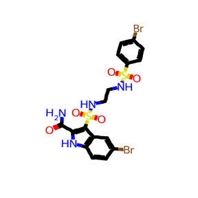 NC(=O)c1[nH]c2ccc(Br)cc2c1S(=O)(=O)NCCNS(=O)(=O)c1ccc(Br)cc1